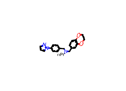 CCCN(Cc1ccc(-n2cccn2)cc1)Cc1ccc2c(c1)OCCO2